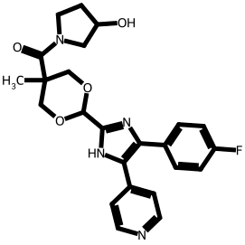 CC1(C(=O)N2CCC(O)C2)COC(c2nc(-c3ccc(F)cc3)c(-c3ccncc3)[nH]2)OC1